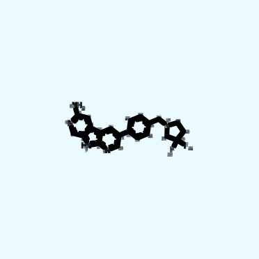 Nc1cc2c(cn1)[nH]c1ncc(-c3ccc(CN4CCC(F)(F)C4)cc3)cc12